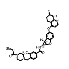 CC(C)(C)OC(=O)N1CCN(Cc2ccc(C(=O)N[C@@H]3C4Oc5ccc(Oc6ccnc7c6CCC(=O)N7)cc5[C@H]43)cc2C(F)(F)F)CC1